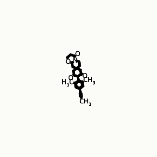 CC#Cc1cc(C)c(C2C(=O)CC3(CCN4C(=O)CCOC4C3)CC2=O)c(C)c1